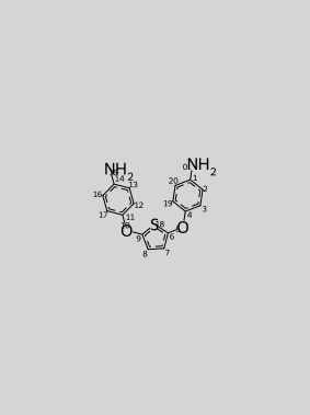 Nc1ccc(Oc2ccc(Oc3ccc(N)cc3)s2)cc1